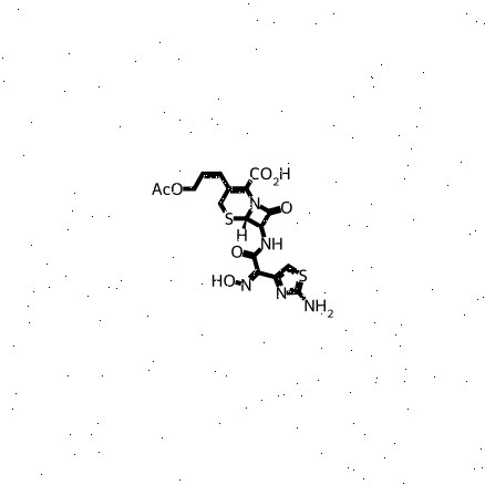 CC(=O)OC/C=C\C1=C(C(=O)O)N2C(=O)C(NC(=O)/C(=N\O)c3csc(N)n3)[C@@H]2SC1